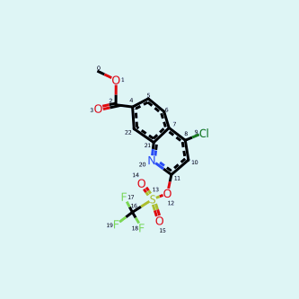 COC(=O)c1ccc2c(Cl)cc(OS(=O)(=O)C(F)(F)F)nc2c1